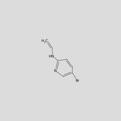 C=CNc1ccc(Br)cn1